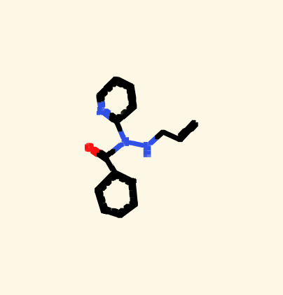 C=CCNN(C(=O)c1ccccc1)c1ccccn1